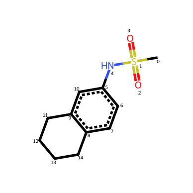 CS(=O)(=O)Nc1ccc2c(c1)CCCC2